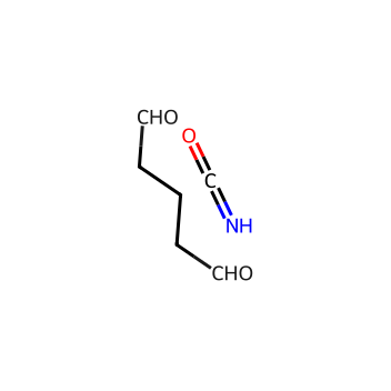 N=C=O.O=CCCCC=O